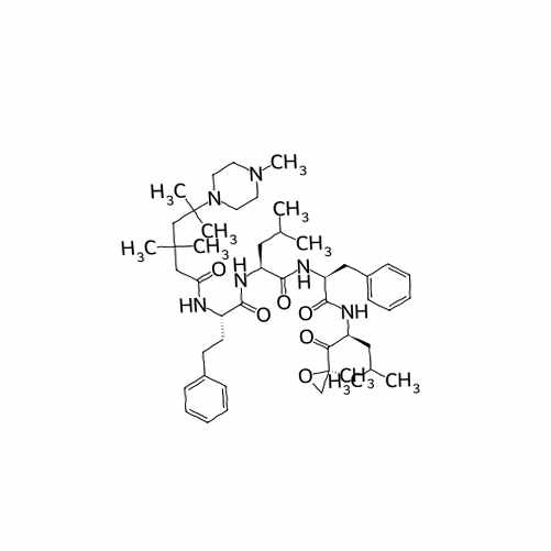 CC(C)C[C@H](NC(=O)[C@H](CCc1ccccc1)NC(=O)CC(C)(C)CC(C)(C)N1CCN(C)CC1)C(=O)N[C@@H](Cc1ccccc1)C(=O)N[C@@H](CC(C)C)C(=O)[C@@]1(C)CO1